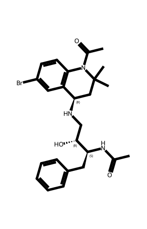 CC(=O)N[C@@H](Cc1ccccc1)[C@H](O)CN[C@@H]1CC(C)(C)N(C(C)=O)c2ccc(Br)cc21